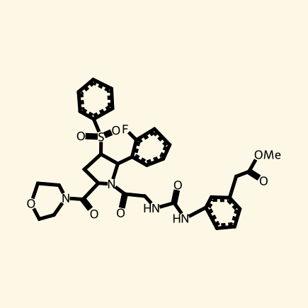 COC(=O)Cc1cccc(NC(=O)NCC(=O)N2C(C(=O)N3CCOCC3)CC(S(=O)(=O)c3ccccc3)C2c2ccccc2F)c1